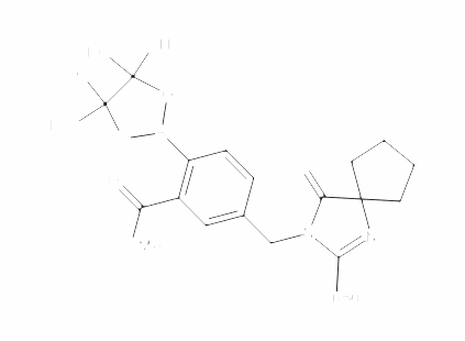 CCCCC1=NC2(CCCC2)C(=O)N1Cc1ccc(B2OC(C)(C)C(C)(C)O2)c(C(=O)OC)c1